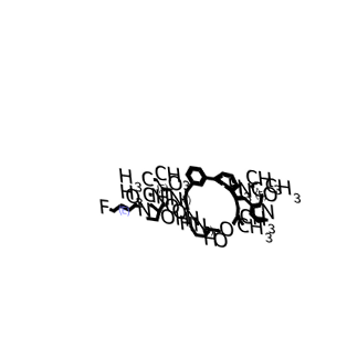 CCn1c(-c2cccnc2[C@H](C)OC)c2c3cc(ccc31)-c1cccc(c1)C[C@H](NC(=O)[C@H](C(C)C)N(C)C(=O)C1(O)CCN(C(=O)/C=C/CF)C1)C(=O)N1CCC[C@H](N1)C(=O)OCC(C)(C)C2